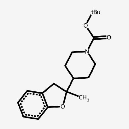 CC(C)(C)OC(=O)N1CCC(C2(C)Cc3ccccc3O2)CC1